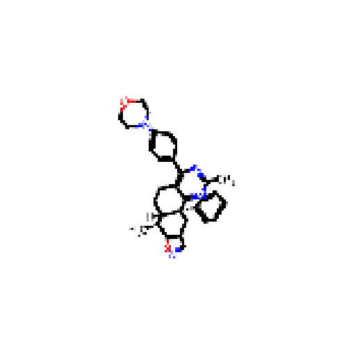 Cc1nc(-c2ccc(N3CCOCC3)cc2)c2c(n1)[C@@]1(c3ccccc3)Cc3cnoc3[C@@H](C)[C@@H]1CC2